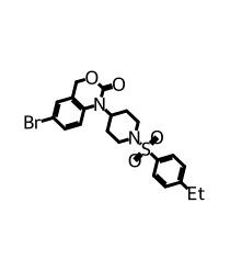 CCc1ccc(S(=O)(=O)N2CCC(N3C(=O)OCc4cc(Br)ccc43)CC2)cc1